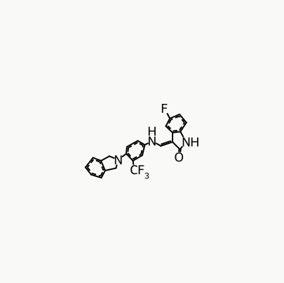 O=C1Nc2ccc(F)cc2/C1=C\Nc1ccc(N2Cc3ccccc3C2)c(C(F)(F)F)c1